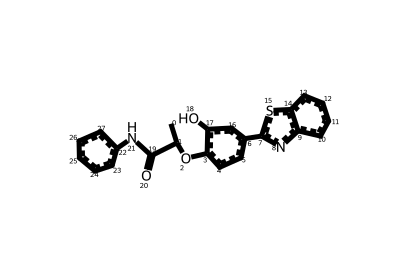 CC(Oc1ccc(-c2nc3ccccc3s2)cc1O)C(=O)Nc1ccccc1